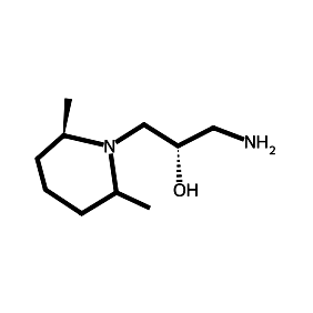 CC1CCC[C@@H](C)N1C[C@@H](O)CN